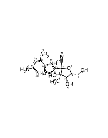 C[C@@]1(O)[C@H](O)[C@@H](CO)O[C@@]1(C#N)c1ccc(/C(N)=N\C(=N)N)[nH]1